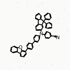 N#Cc1ccc(N(c2ccc(-c3ccc(-c4cccc5c4oc4ccccc45)cc3)cc2)c2ccc3c(c2)C(c2ccccc2)(c2ccccc2)c2ccccc2-3)cc1